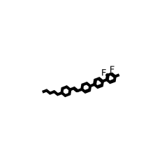 CCCCCC1CCC(/C=C/C2C=CC(c3ccc(-c4ccc(C)c(F)c4F)cc3)CC2)CC1